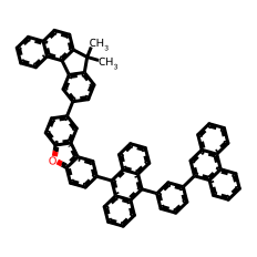 CC1(C)c2ccc(-c3ccc4oc5ccc(-c6c7ccccc7c(-c7cccc(-c8cc9ccccc9c9ccccc89)c7)c7ccccc67)cc5c4c3)cc2-c2c1ccc1ccccc21